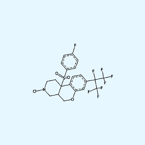 O=S(=O)(c1ccc(F)cc1)C12CCN(Cl)CC1COc1cc(C(F)(C(F)(F)F)C(F)(F)F)ccc12